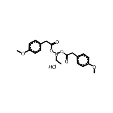 CCN(OC(=O)Cc1ccc(OC)cc1)OC(=O)Cc1ccc(OC)cc1.Cl